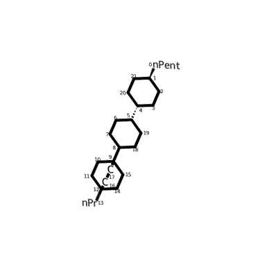 CCCCC[C@H]1CC[C@H](C2CCC(C34CCC(CCC)(CC3)CC4)CC2)CC1